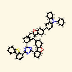 c1ccc(-c2nc(-c3cccc4c3sc3ccccc34)nc(-c3cccc4oc5ccc(-c6cccc7oc8cc(-c9ccc%10c(c9)c9ccccc9n%10-c9ccccc9)ccc8c67)cc5c34)n2)cc1